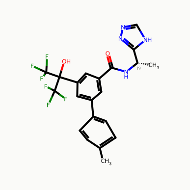 Cc1ccc(-c2cc(C(=O)N[C@@H](C)c3nnc[nH]3)cc(C(O)(C(F)(F)F)C(F)(F)F)c2)cc1